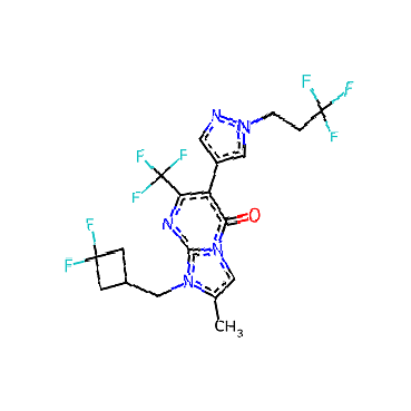 Cc1cn2c(=O)c(-c3cnn(CCC(F)(F)F)c3)c(C(F)(F)F)nc2n1CC1CC(F)(F)C1